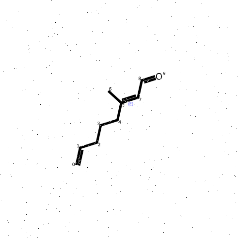 C=CCCC/C(C)=C/C=O